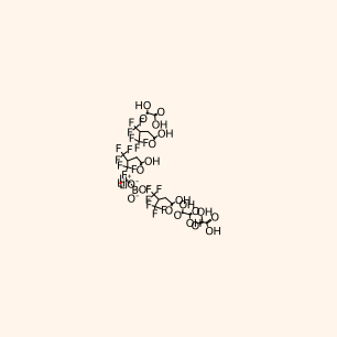 O=C(O)C(=O)O.O=C(O)C(=O)O.O=C(O)C(=O)O.O=C(O)CC(C(F)(F)F)C(F)(F)F.O=C(O)CC(C(F)(F)F)C(F)(F)F.O=C(O)CC(C(F)(F)F)C(F)(F)F.[Li+].[Li+].[Li+].[O-]B([O-])[O-]